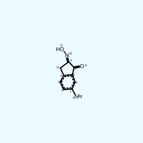 CCCc1ccc2c(c1)C(=O)C(=NO)C2